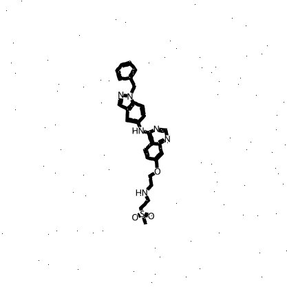 CS(=O)(=O)CCNCCOc1ccc2c(Nc3ccc4c(cnn4Cc4ccccc4)c3)ncnc2c1